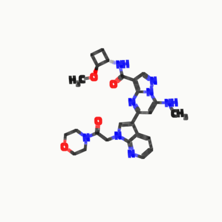 CNc1cc(-c2cn(CC(=O)N3CCOCC3)c3ncccc23)nc2c(C(=O)N[C@H]3CC[C@@H]3OC)cnn12